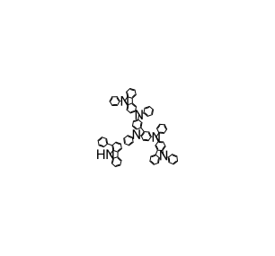 c1ccc(-c2cccc3c2[nH]c2ccccc23)cc1.c1ccc(N(c2ccc3c(c2)c2ccccc2n3-c2ccccc2)c2ccc3c(c2)c2cc(N(c4ccccc4)c4ccc5c(c4)c4ccccc4n5-c4ccccc4)ccc2n3-c2ccccc2)cc1